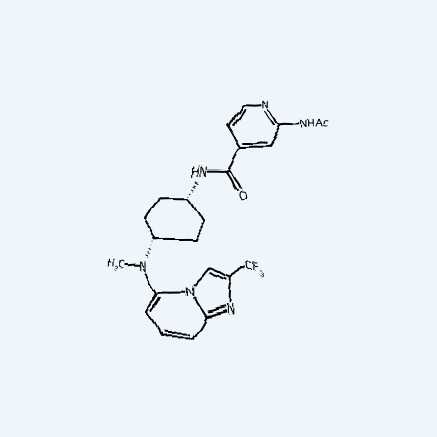 CC(=O)Nc1cc(C(=O)N[C@H]2CC[C@@H](N(C)c3cccc4nc(C(F)(F)F)cn34)CC2)ccn1